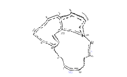 C1=C\Cc2cccc3ccn(c23)\C=C/1